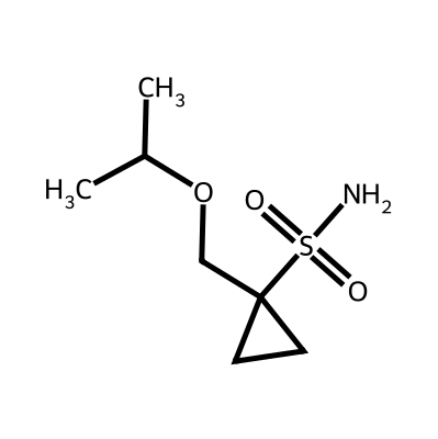 CC(C)OCC1(S(N)(=O)=O)CC1